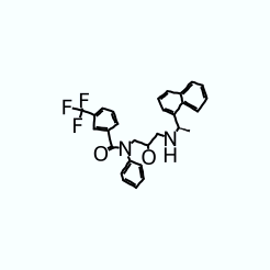 C[C@@H](NCC1CN(C(=O)c2cccc(C(F)(F)F)c2)c2ccccc2O1)c1cccc2ccccc12